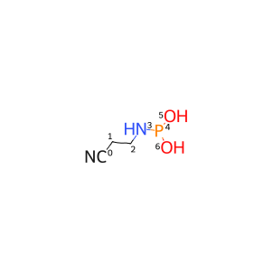 N#CCCNP(O)O